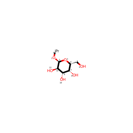 CC(C)O[C@H]1O[C@H](CO)[C@H](O)[C@H](O)[C@H]1O